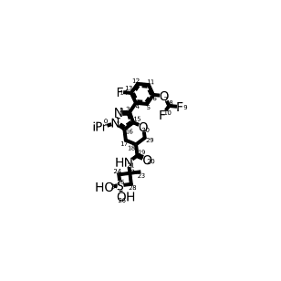 CC(C)n1nc(-c2cc(OC(F)F)ccc2F)c2c1CC(C(=O)NC1(C)CS(O)(O)C1)CO2